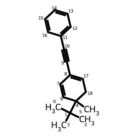 CC(C)(C)C1(C)C=CC(C#Cc2ccccc2)=CC1